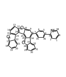 c1ccc(-c2ccc(-c3cc4oc5ccc6oc7ccccc7c6c5c4c4oc5ccccc5c34)cc2)nc1